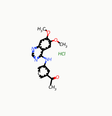 COc1cc2ncnc(Nc3cccc(C(C)=O)c3)c2cc1OC.Cl